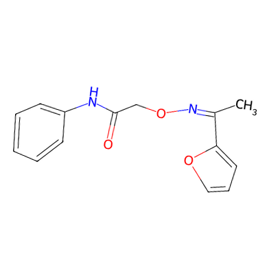 CC(=NOCC(=O)Nc1ccccc1)c1ccco1